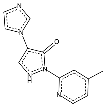 Cc1ccnc(-n2[nH]cc(-n3ccnc3)c2=O)c1